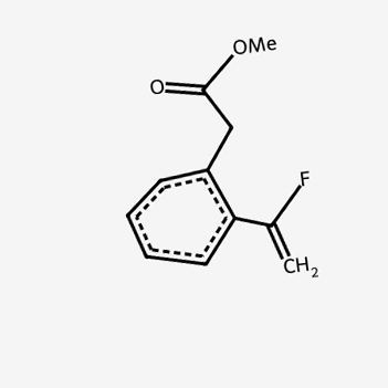 C=C(F)c1ccccc1CC(=O)OC